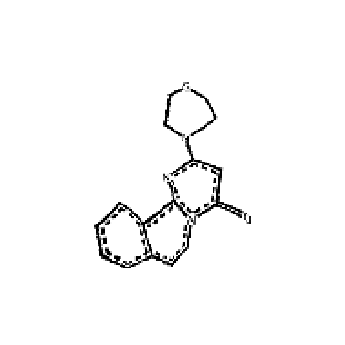 O=c1cc(N2CCSCC2)nc2c3ccccc3ccn12